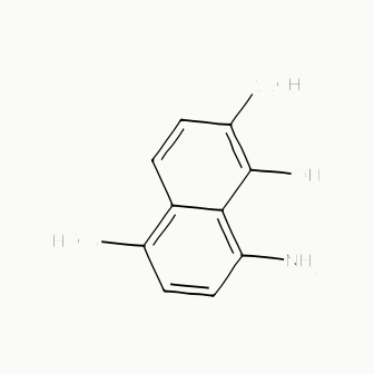 Nc1ccc(S(=O)(=O)O)c2ccc(S(=O)(=O)O)c(O)c12